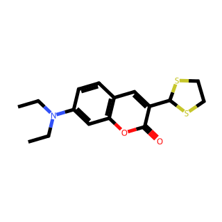 CCN(CC)c1ccc2cc(C3SCCS3)c(=O)oc2c1